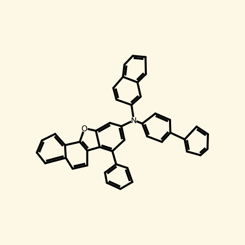 c1ccc(-c2ccc(N(c3ccc4ccccc4c3)c3cc(-c4ccccc4)c4c(c3)oc3c5ccccc5ccc34)cc2)cc1